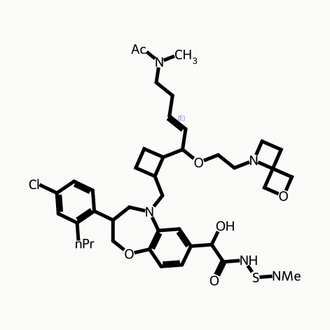 CCCc1cc(Cl)ccc1C1COc2ccc(C(O)C(=O)NSNC)cc2N(CC2CCC2C(/C=C/CCN(C)C(C)=O)OCCN2CCC23COC3)C1